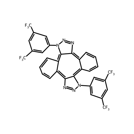 FC(F)(F)c1cc(-n2nnc3/c2=c2/cccc/c2=c2\nnn(-c4cc(C(F)(F)F)cc(C(F)(F)F)c4)\c2=c2/cccc/c2=3)cc(C(F)(F)F)c1